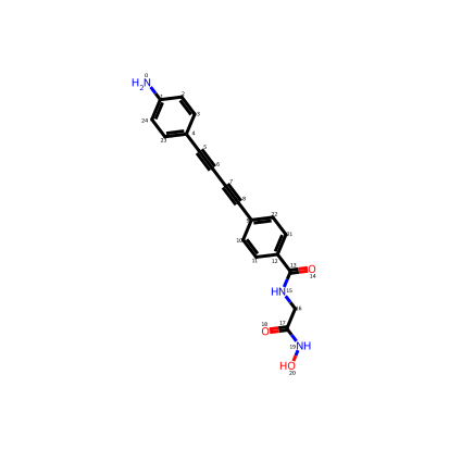 Nc1ccc(C#CC#Cc2ccc(C(=O)NCC(=O)NO)cc2)cc1